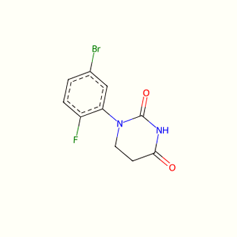 O=C1CCN(c2cc(Br)ccc2F)C(=O)N1